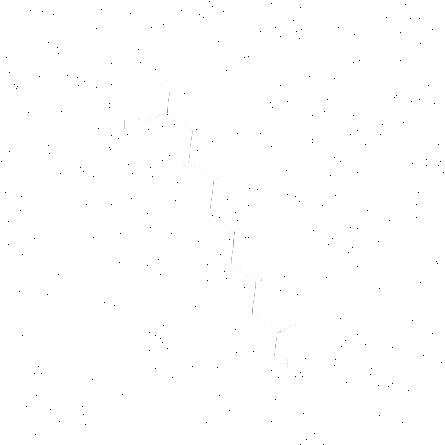 CC(C)CCCCCCCCC(C)C